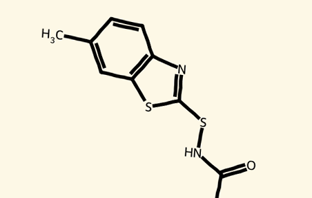 Cc1ccc2nc(SNC(N)=O)sc2c1